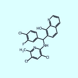 Cc1nc(NC(c2ccc(Cl)c(F)c2)c2ccc3cccnc3c2O)c(Cl)cc1Cl